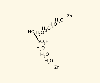 O.O.O.O.O.O.O.O=S(=O)(O)O.[Zn].[Zn]